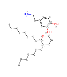 CCCCCCCC[C@H]1OCCC[C@@H]1CCCCCCC.NCCc1ccc(O)c(O)c1